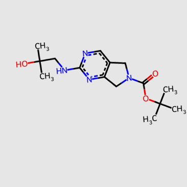 CC(C)(O)CNc1ncc2c(n1)CN(C(=O)OC(C)(C)C)C2